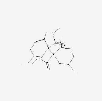 CCNC(=O)C1(C2(C(=O)NCC)CC(C)CCC2C(C)C)CC(C)CCC1C(C)C